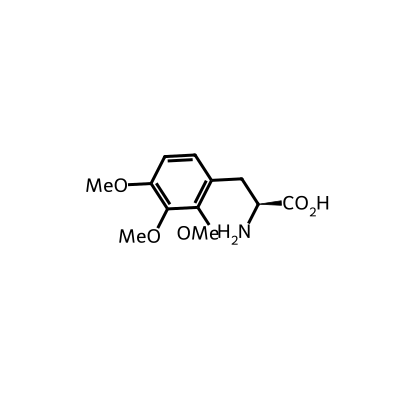 COc1ccc(C[C@H](N)C(=O)O)c(OC)c1OC